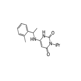 Cc1ccccc1C(C)Nc1cc(=O)n(C(C)C)c(=O)[nH]1